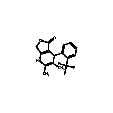 CC1=C(C)C(c2ccccc2C(F)(F)F)C2=C(COC2=O)N1